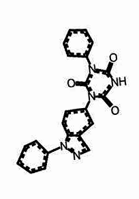 O=c1[nH]c(=O)n(-c2ccc3c(cnn3-c3ccccc3)c2)c(=O)n1-c1ccccc1